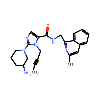 CC#CCn1c(C(=O)NCc2nc(C)cc3ccccc23)cnc1N1CCCC(N)C1